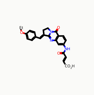 CCOc1ccc(C=C2CCn3c2nc2cc(NC(=O)C=CC(=O)O)ccc2c3=O)cc1